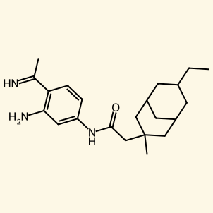 CCC1CC2CC(C1)CC(C)(CC(=O)Nc1ccc(C(C)=N)c(N)c1)C2